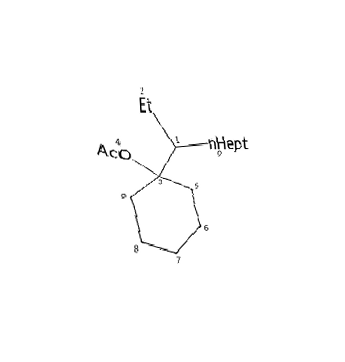 CCCCCCCC(CC)C1(OC(C)=O)CCCCC1